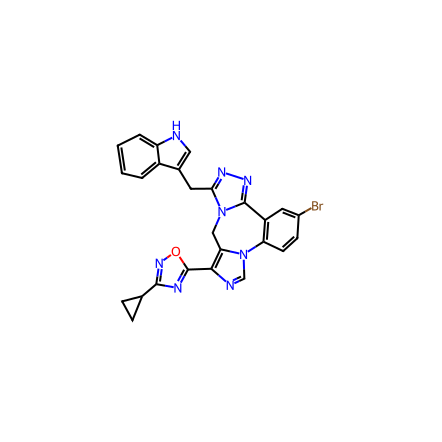 Brc1ccc2c(c1)-c1nnc(Cc3c[nH]c4ccccc34)n1Cc1c(-c3nc(C4CC4)no3)ncn1-2